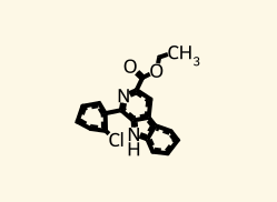 CCOC(=O)c1cc2c([nH]c3ccccc32)c(-c2ccccc2Cl)n1